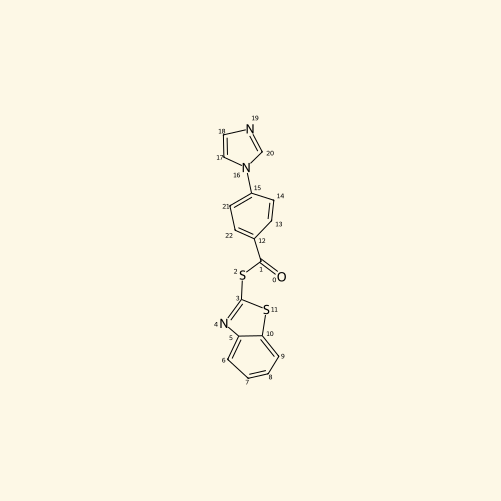 O=C(Sc1nc2ccccc2s1)c1ccc(-n2ccnc2)cc1